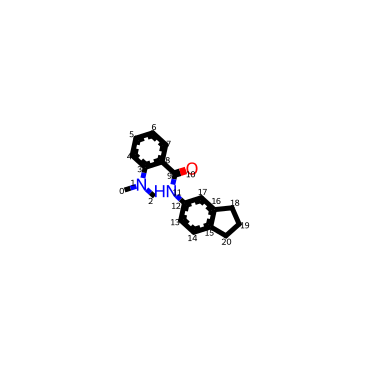 CN(C)c1ccccc1C(=O)Nc1ccc2c(c1)CCC2